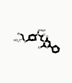 CCCCCCCN(C(=O)Cn1c(CC)nc(-c2ccccc2)cc1=O)c1ccc(S[C@@H](CC(C)C)C(=O)O)cc1